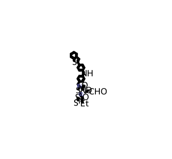 CCN1C(=O)/C(=c2/s/c(=C/c3ccc(Nc4ccc(-c5cc6ccccc6s5)cc4)cc3)c(=O)n2COC=O)SC1=S